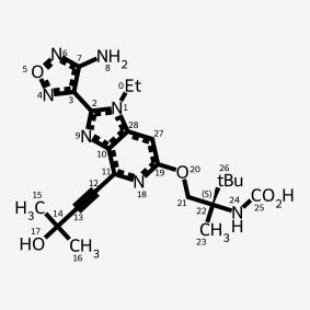 CCn1c(-c2nonc2N)nc2c(C#CC(C)(C)O)nc(OC[C@@](C)(NC(=O)O)C(C)(C)C)cc21